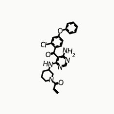 C=CC(=O)N1CCCC(Nc2ncnc(N)c2C(=O)c2ccc(Oc3ccccc3)cc2Cl)C1